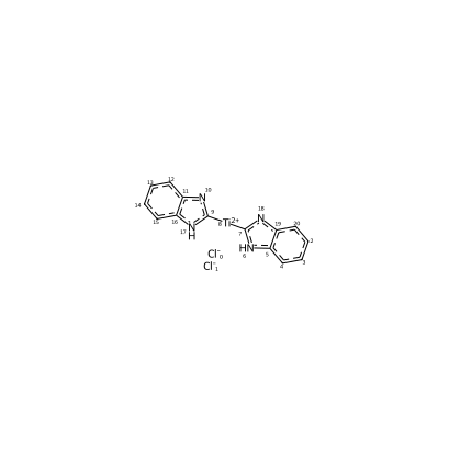 [Cl-].[Cl-].c1ccc2[nH][c]([Ti+2][c]3nc4ccccc4[nH]3)nc2c1